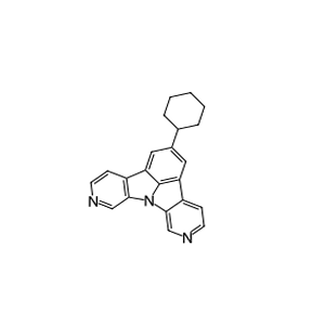 c1cc2c3cc(C4CCCCC4)cc4c5ccncc5n(c2cn1)c34